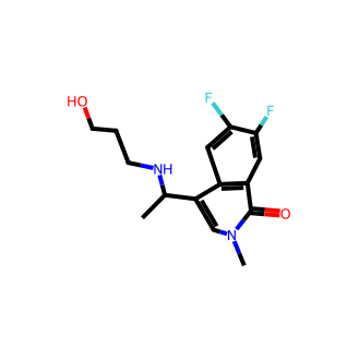 CC(NCCCO)c1cn(C)c(=O)c2cc(F)c(F)cc12